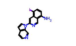 Nc1ccc(I)c2cc(-n3ccc4ccncc43)ncc12